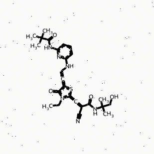 CCn1c(=C=C(C#N)C(=O)NC(C)(C)CO)sc(=C=CNc2cccc(NC(=O)C(C)(C)C)n2)c1=O